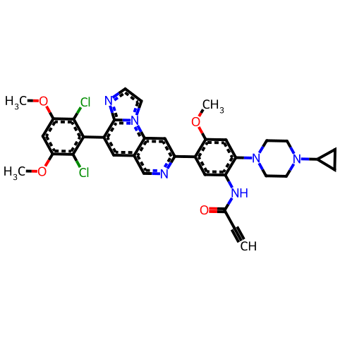 C#CC(=O)Nc1cc(-c2cc3c(cn2)cc(-c2c(Cl)c(OC)cc(OC)c2Cl)c2nccn23)c(OC)cc1N1CCN(C2CC2)CC1